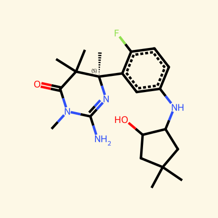 CN1C(=O)C(C)(C)[C@@](C)(c2cc(NC3CC(C)(C)CC3O)ccc2F)N=C1N